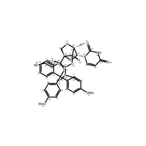 COc1ccc(C(O[C@@H](C)[C@@]23CO[C@@H]([C@H](n4ccc(=O)[nH]c4=O)O2)[C@@H]3OP(OCCC#N)N(C(C)C)C(C)C)(c2ccccc2)c2ccc(OC)cc2)cc1